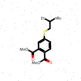 CCCCC(CC)CSc1ccc(C(=O)OC)c(C(=O)OC)c1